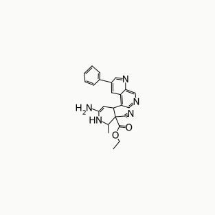 CCOC(=O)C1(C#N)C(C)NC(N)=CC1c1cncc2ncc(-c3ccccc3)cc12